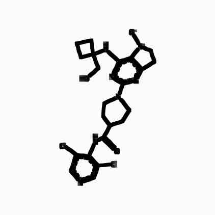 O=C(Nc1c(Cl)cncc1Cl)C1CCN(c2nc3c(c(NC4(CO)CCC4)n2)[S+]([O-])CC3)CC1